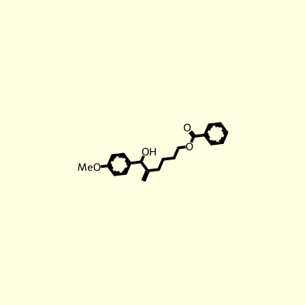 C=C(CCCCOC(=O)c1ccccc1)C(O)c1ccc(OC)cc1